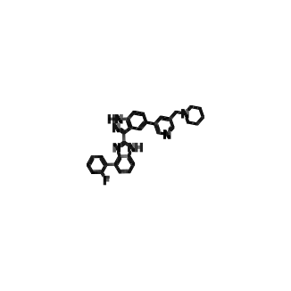 Fc1ccccc1-c1cccc2[nH]c(-c3n[nH]c4ccc(-c5cncc(CN6CCCCC6)c5)cc34)nc12